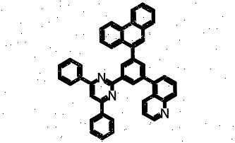 c1ccc(-c2cc(-c3ccccc3)nc(-c3cc(-c4cccc5ncccc45)cc(-c4cc5ccccc5c5ccccc45)c3)n2)cc1